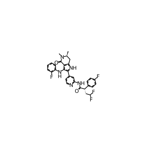 C[C@H]1Cc2[nH]c(-c3ccnc(NC(=O)[C@@H](CC(F)F)c4ccc(F)cc4)c3)c(Nc3ccccc3F)c2C(=O)N1C